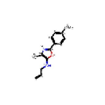 C=CCNc1oc(-c2ccc(OC)cc2)nc1C#N